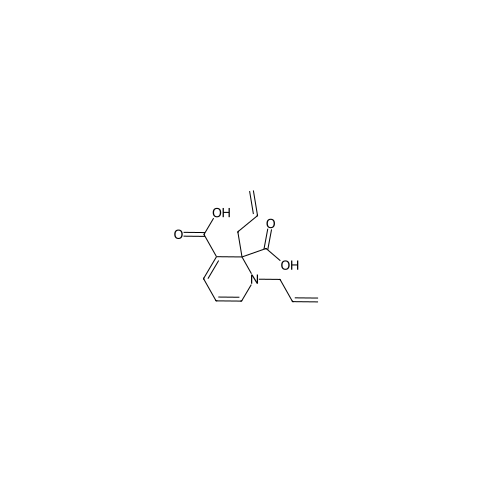 C=CCN1C=CC=C(C(=O)O)C1(CC=C)C(=O)O